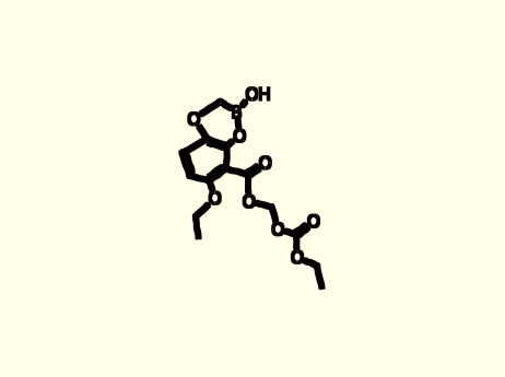 CCOC(=O)OCOC(=O)c1c(OCC)ccc2c1OB(O)CO2